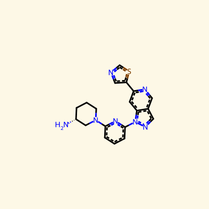 N[C@@H]1CCCN(c2cccc(-n3ncc4cnc(-c5cncs5)cc43)n2)C1